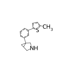 Cc1ccc(-c2cccc(C34CNCC3C4)c2)s1